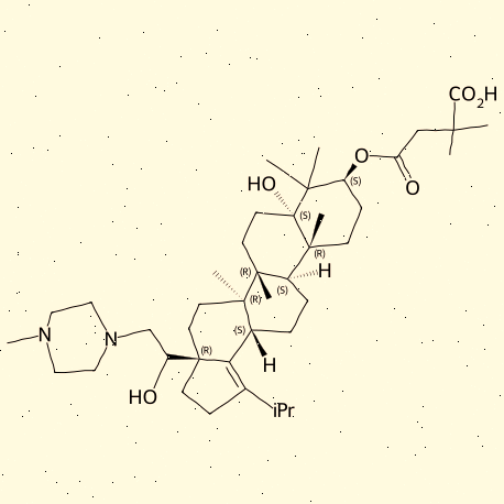 CC(C)C1=C2[C@H]3CC[C@@H]4[C@@]5(C)CC[C@H](OC(=O)CC(C)(C)C(=O)O)C(C)(C)[C@]5(O)CC[C@@]4(C)[C@]3(C)CC[C@@]2(C(O)CN2CCN(C)CC2)CC1